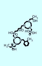 CCP(=O)(O)CN1CCN(CC2C=CC=CC2C)CCN(CP(=O)(O)CCC[C@H](O)CN2CCN(C[C@H](C)O)CCN(CP(=O)(O)O)CC2)CC1